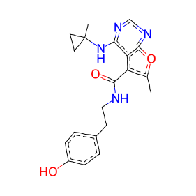 Cc1oc2ncnc(NC3(C)CC3)c2c1C(=O)NCCc1ccc(O)cc1